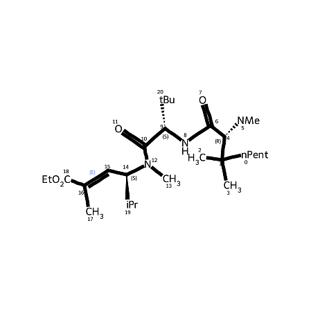 CCCCCC(C)(C)[C@@H](NC)C(=O)N[C@H](C(=O)N(C)[C@H](/C=C(\C)C(=O)OCC)C(C)C)C(C)(C)C